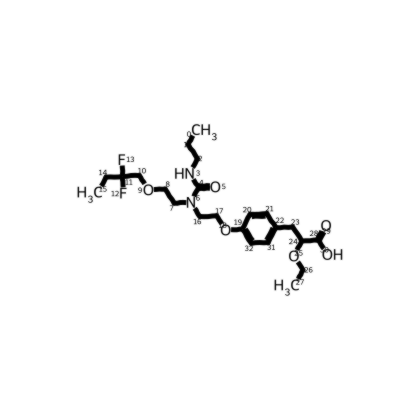 CCCNC(=O)N(CCOCC(F)(F)CC)CCOc1ccc(CC(OCC)C(=O)O)cc1